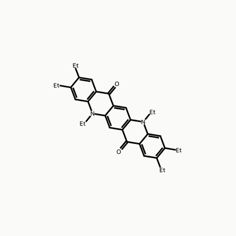 CCc1cc2c(=O)c3cc4c(cc3n(CC)c2cc1CC)c(=O)c1cc(CC)c(CC)cc1n4CC